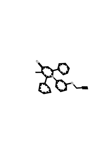 C#CCOc1cccc(-n2c(-c3ccccc3)cc(=O)c(C)c2-c2ccccc2)c1